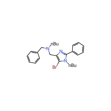 CCCCN(Cc1ccccc1)Cc1nc(-c2ccccc2)n(CCCC)c1Br